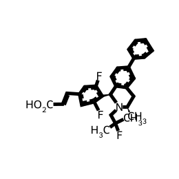 C[C@H]1Cc2cc(-c3ccccc3)ccc2[C@H](c2c(F)cc(/C=C/C(=O)O)cc2F)N1CC(C)(C)F